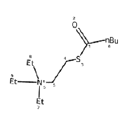 CCCCC(=O)SCC[N+](CC)(CC)CC